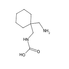 NCC1(CNC(=O)O)CCCCC1